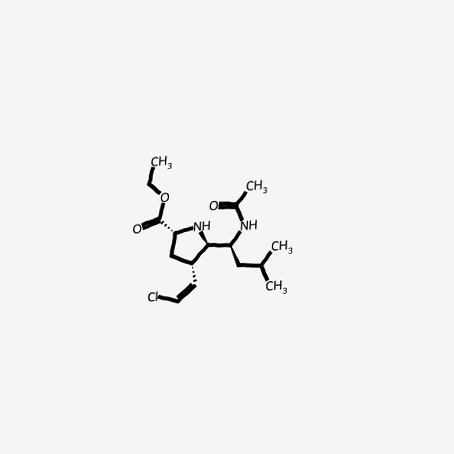 CCOC(=O)[C@H]1C[C@@H](/C=C\Cl)[C@H]([C@H](CC(C)C)NC(C)=O)N1